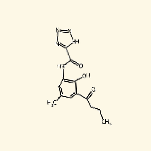 CCCC(=O)c1cc(C)cc(NC(=O)c2nnn[nH]2)c1O